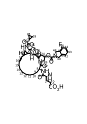 N[C@H](CCC(=O)O)C(=O)N[C@H]1CCCCCCC/C=C\[C@@H]2C[C@@]2(C(=O)NS(=O)(=O)C2CC2)NC(=O)[C@@H]2C[C@@H](OC(=O)N3Cc4cccc(F)c4C3)CN2C1=O